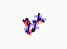 C=CC(=O)Nc1cc(C(=O)NC(C(=O)NCC(=O)Nc2ccc(COC(=O)N(C)C(C(=O)NCC(=O)N(C)C(C(C)CC)C(CC(=O)N3CCCC3C(OC)C(C)C)OC)C(C)C)cc2)C(C)C)cc(NC(=O)C=C)n1